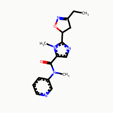 CCC1=NOC(c2ncc(C(=O)N(C)c3cccnc3)n2C)C1